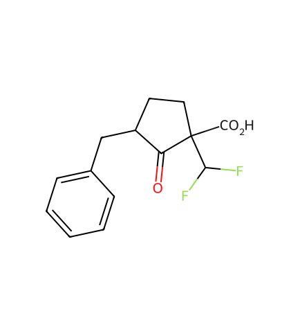 O=C(O)C1(C(F)F)CCC(Cc2ccccc2)C1=O